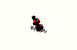 CCC1C=CC=C2C1B1C3C(=CC(N4c5ccccc5[Si]5(c6ccccc64)c4ccccc4N(c4ccccc4)c4ccccc45)=CC3CC)C(C)(C)C3C=CC=C(C13)C2(C)C